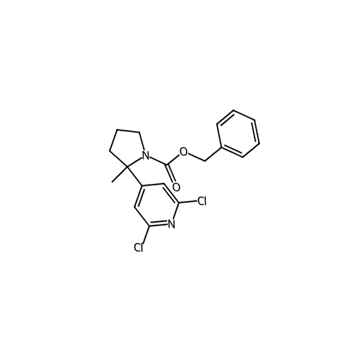 CC1(c2cc(Cl)nc(Cl)c2)CCCN1C(=O)OCc1ccccc1